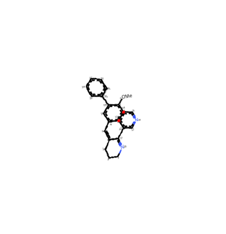 COc1ccc(/C=C2/CCCN=C2c2cccnc2)cc1-c1ccccc1